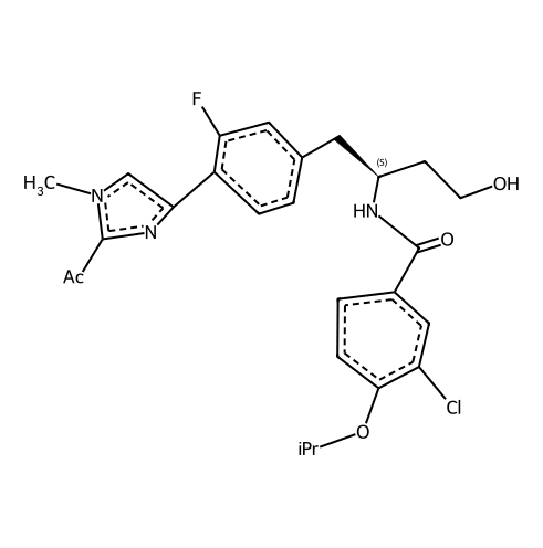 CC(=O)c1nc(-c2ccc(C[C@@H](CCO)NC(=O)c3ccc(OC(C)C)c(Cl)c3)cc2F)cn1C